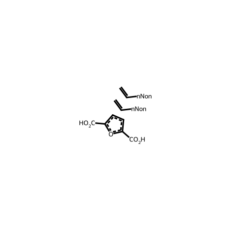 C=CCCCCCCCCC.C=CCCCCCCCCC.O=C(O)c1ccc(C(=O)O)o1